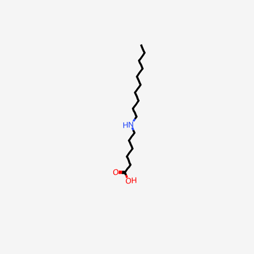 CCCCCCCCCCNCCCCCC(=O)O